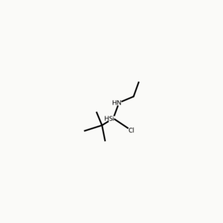 CCN[SiH](Cl)C(C)(C)C